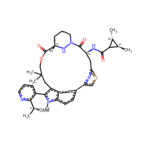 CCn1c(-c2cccnc2[C@H](C)OC)c2c3cc(ccc31)-c1csc(n1)C[C@H](NC(=O)C1[C@H](C)[C@H]1C)C(=O)N1CCC[C@H](N1)C(=O)OCC(C)(C)C2